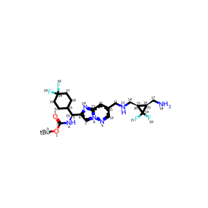 CC(C)(C)OC(=O)N[C@H](c1cn2ncc(CNC[C@H]3[C@@H](CN)C3(F)F)cc2n1)C1CCC(F)(F)CC1